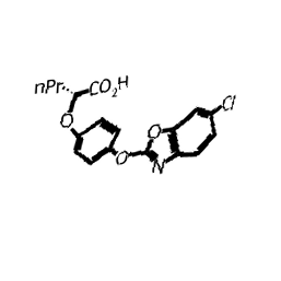 CCC[C@@H](Oc1ccc(Oc2nc3ccc(Cl)cc3o2)cc1)C(=O)O